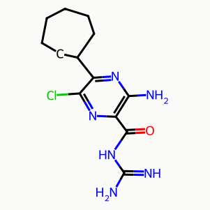 N=C(N)NC(=O)c1nc(Cl)c(C2CCCCCC2)nc1N